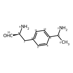 CC(N)c1ccc(C[C@H](N)C=O)cc1